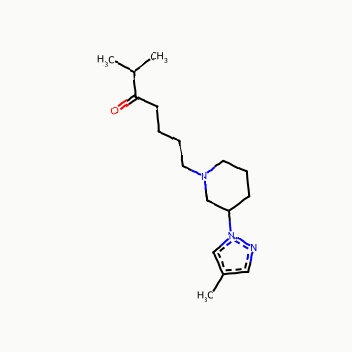 Cc1cnn(C2CCCN(CCCCC(=O)C(C)C)C2)c1